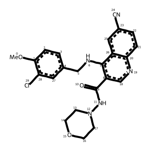 COc1ccc(CNc2c(C(=O)NN3CCOCC3)cnc3ccc(C#N)cc23)cc1Cl